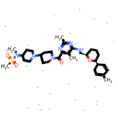 CC1=CCC([C@@H]2CCC[C@H](CNc3nc(C)nc(C(=O)N4CCC(N5CCC(N(C)S(C)(=O)=O)CC5)CC4)c3C)O2)C=C1